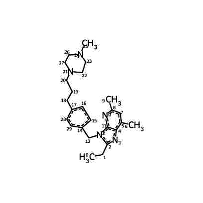 CCc1nc2c(C)cc(C)nc2n1Cc1ccc(CCCN2CCN(C)CC2)cc1